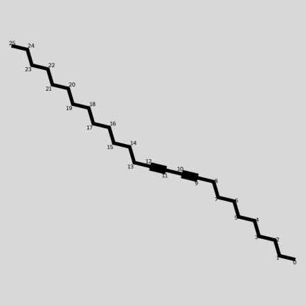 CCCCCCCCCC#CC#CCCCCCCCCCCCCC